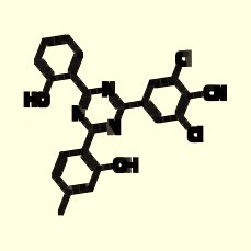 Cc1ccc(-c2nc(-c3cc(Cl)c(C#N)c(Cl)c3)nc(-c3ccccc3O)n2)c(O)c1